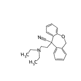 CCN(CC)CCC1(C#N)c2ccccc2COc2ccccc21